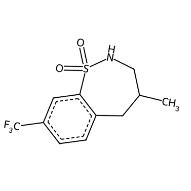 CC1CNS(=O)(=O)c2cc(C(F)(F)F)ccc2C1